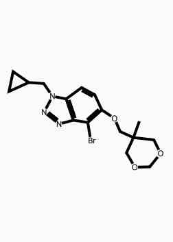 CC1(COc2ccc3c(nnn3CC3CC3)c2Br)COCOC1